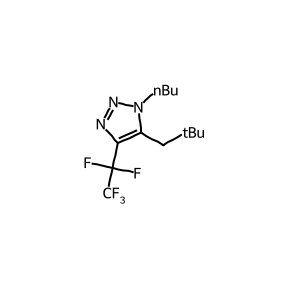 CCCCn1nnc(C(F)(F)C(F)(F)F)c1CC(C)(C)C